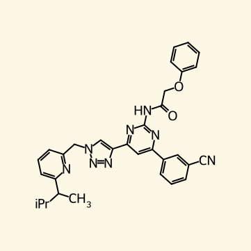 CC(C)C(C)c1cccc(Cn2cc(-c3cc(-c4cccc(C#N)c4)nc(NC(=O)COc4ccccc4)n3)nn2)n1